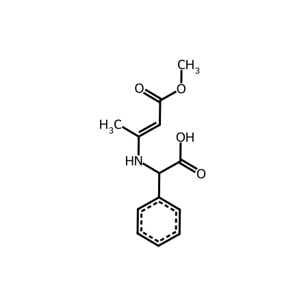 COC(=O)C=C(C)NC(C(=O)O)c1ccccc1